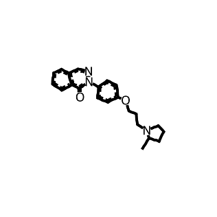 CC1CCCN1CCCOc1ccc(-n2ncc3ccccc3c2=O)cc1